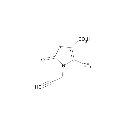 C#CCn1c(C(F)(F)F)c(C(=O)O)sc1=O